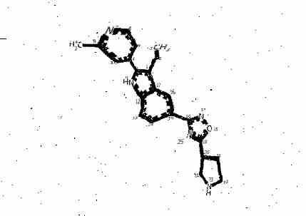 CCc1c(-c2ccnc(C)c2)[nH]c2ccc(-c3noc(C4CCNC4)n3)cc12